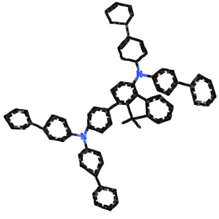 CC1(C)c2ccccc2-c2c(N(c3ccc(-c4ccccc4)cc3)C3C=CC(C4C=CC=CC4)=CC3)ccc(-c3ccc(N(c4ccc(-c5ccccc5)cc4)c4ccc(-c5ccccc5)cc4)cc3)c21